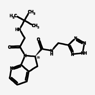 CC(C)(C)NCC(=O)N1c2ncccc2C[C@H]1C(=O)NCc1nn[nH]n1